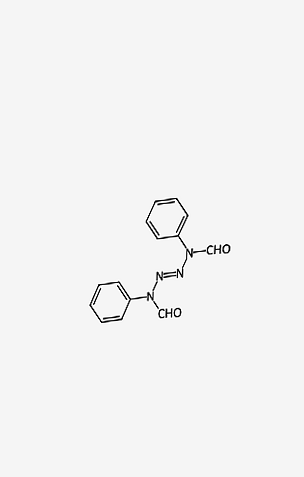 O=CN(N=NN(C=O)c1ccccc1)c1ccccc1